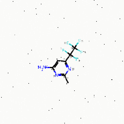 Cc1nc(N)cc(C(F)(F)C(F)(F)F)n1